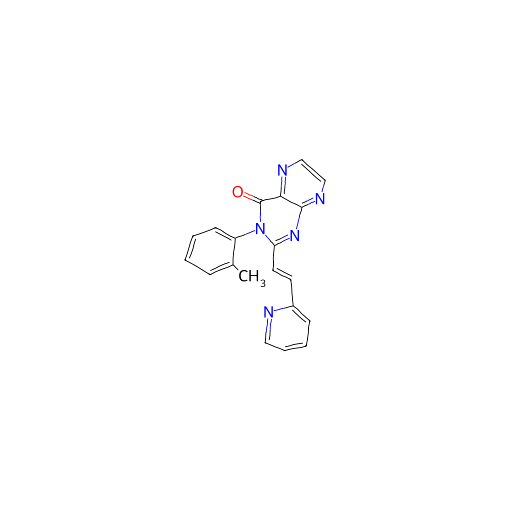 Cc1ccccc1-n1c(/C=C/c2ccccn2)nc2nccnc2c1=O